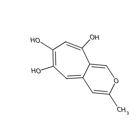 CC1=CC2=CC(O)=C(O)C=C(O)C2=CO1